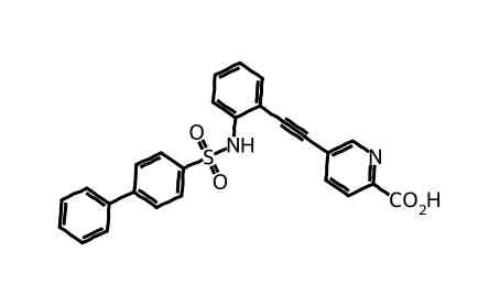 O=C(O)c1ccc(C#Cc2ccccc2NS(=O)(=O)c2ccc(-c3ccccc3)cc2)cn1